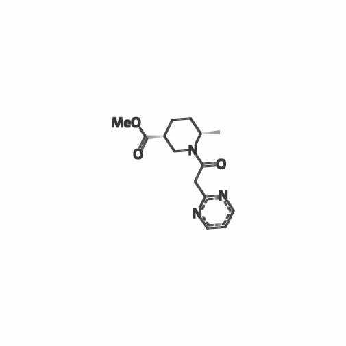 COC(=O)[C@@H]1CC[C@H](C)N(C(=O)Cc2ncccn2)C1